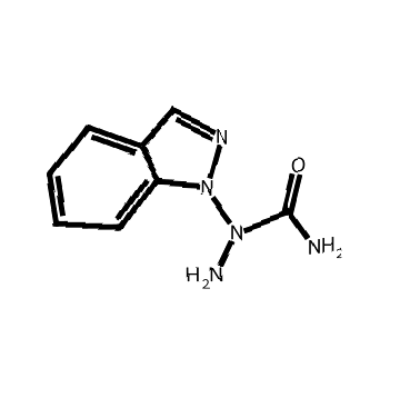 NC(=O)N(N)n1ncc2ccccc21